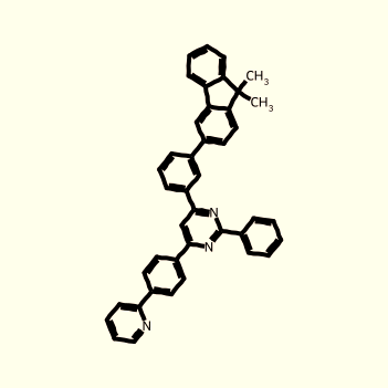 CC1(C)c2ccccc2-c2cc(-c3cccc(-c4cc(-c5ccc(-c6ccccn6)cc5)nc(-c5ccccc5)n4)c3)ccc21